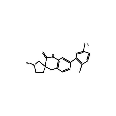 Cc1ccc(F)c(-c2ccc3c(c2)NC(=O)C2(CCN(C#N)C2)C3)c1